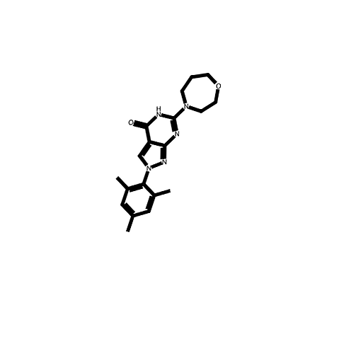 Cc1cc(C)c(-n2cc3c(=O)[nH]c(N4CCCOCC4)nc3n2)c(C)c1